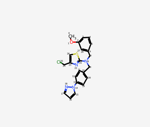 COc1cccc(CN(Cc2ccc(-n3cccn3)cc2)c2nc(CCl)cs2)c1